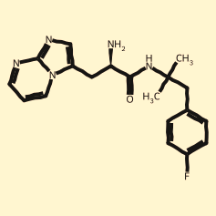 CC(C)(Cc1ccc(F)cc1)NC(=O)[C@H](N)Cc1cnc2ncccn12